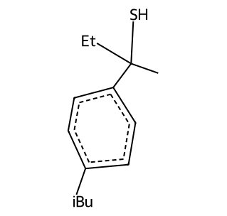 CCC(C)c1ccc(C(C)(S)CC)cc1